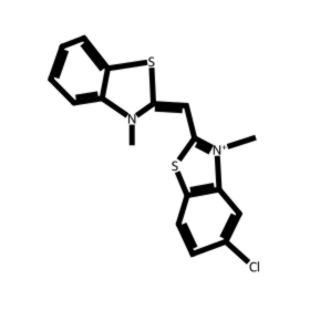 CN1C(=Cc2sc3ccc(Cl)cc3[n+]2C)Sc2ccccc21